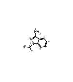 Nc1nn(C(F)F)c2ccccc12